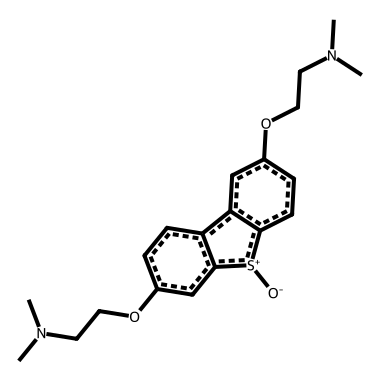 CN(C)CCOc1ccc2c(c1)c1ccc(OCCN(C)C)cc1[s+]2[O-]